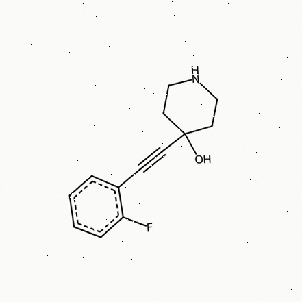 OC1(C#Cc2ccccc2F)CCNCC1